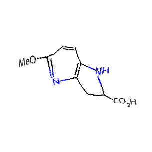 COc1ccc2c(n1)CC(C(=O)O)N2